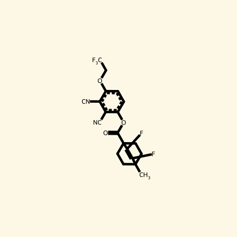 [C-]#[N+]c1c(OCC(F)(F)F)ccc(OC(=O)C23CCC(C)(CC2)C(F)=C3F)c1C#N